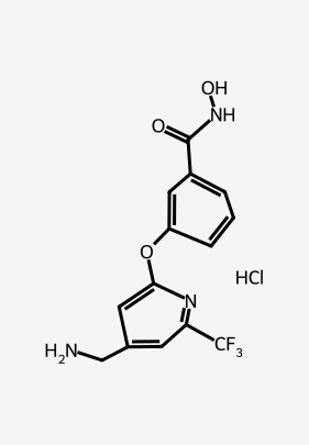 Cl.NCc1cc(Oc2cccc(C(=O)NO)c2)nc(C(F)(F)F)c1